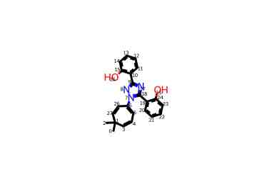 CC1(C)C=CC=C(n2nc(-c3ccccc3O)nc2-c2ccccc2O)C=C1